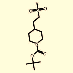 CC(C)(C)OC(=O)N1CCC(CCS(C)(=O)=O)CC1